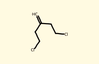 [CH]=C(CCCl)CCCl